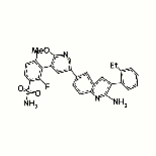 CCc1ccccc1-c1cc2cc(-c3cnc(OC)c(-c4c(F)ccc(S(N)(=O)=O)c4F)c3)ccc2nc1N